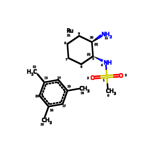 CS(=O)(=O)N[C@@H]1CCCC[C@H]1N.Cc1cc(C)cc(C)c1.[Ru]